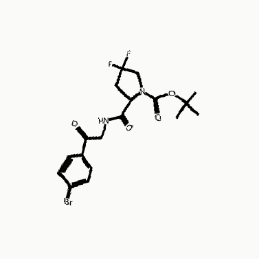 CC(C)(C)OC(=O)N1CC(F)(F)CC1C(=O)NCC(=O)c1ccc(Br)cc1